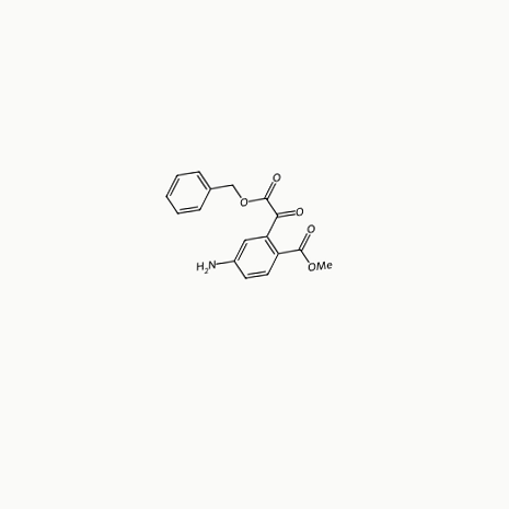 COC(=O)c1ccc(N)cc1C(=O)C(=O)OCc1ccccc1